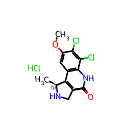 COc1cc2c3c(c(=O)[nH]c2c(Cl)c1Cl)CN[C@H]3C.Cl